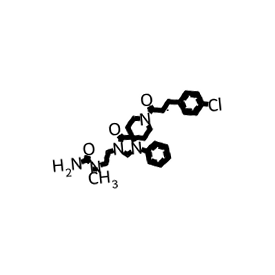 CN(CCN1CN(c2ccccc2)C2(CCN(C(=O)[CH]Cc3ccc(Cl)cc3)CC2)C1=O)C(N)=O